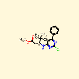 COC(=O)C[C@@H](Nc1cc(-c2ccccc2)nc(Cl)n1)C(C)(C)C